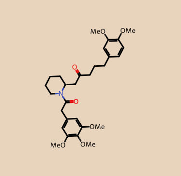 COc1ccc(CCCC(=O)C[C@@H]2CCCCN2C(=O)Cc2cc(OC)c(OC)c(OC)c2)cc1OC